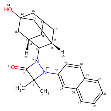 CC1(C)C(=O)N(C2[C@H]3CC4C[C@H]2CC(O)(C4)C3)N1c1ccc2ccccc2c1